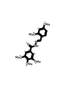 COc1ccc(C=NNC(=O)c2cc(OC)c(OC)c(OC)c2)c(OC)c1